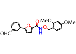 COc1ccc(CONC(=O)c2ccc(-c3cccc(C=O)c3)o2)c(OC)c1